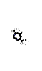 CN/C1=C/C/C=C/[C@@H](C(C)C)C=C(F)C1